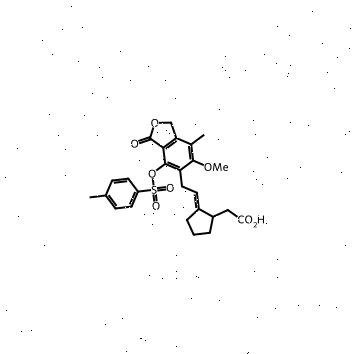 COc1c(C)c2c(c(OS(=O)(=O)c3ccc(C)cc3)c1CC=C1CCCC1CC(=O)O)C(=O)OC2